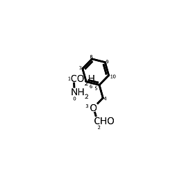 NC(=O)O.O=COCc1ccccc1